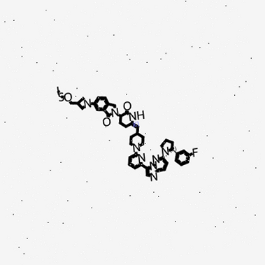 O=C1N/C(=C/C2CCN(c3cccc(-c4cnc5ccc(N6CCC[C@@H]6c6cccc(F)c6)nn45)n3)CC2)CCC1N1Cc2ccc(N3CC(COSI)C3)cc2C1=O